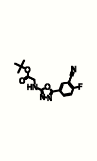 CC(C)(C)OC(=O)CNc1nnc(-c2ccc(F)c(C#N)c2)o1